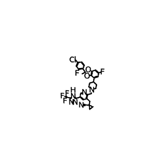 CC1(c2ccc(Cl)cc2F)Oc2cc(F)cc(C3CCN(Cc4ncc(-c5nnc(C(F)(F)F)[nH]5)cc4CC4(C#N)CC4)CC3)c2O1